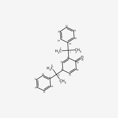 CC(C)(C1=CC(C(C)(C)c2ccccc2)C=CC1=O)c1ccccc1